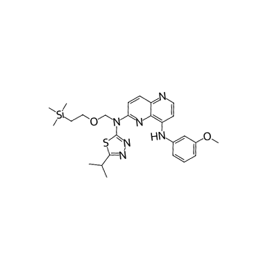 COc1cccc(Nc2ccnc3ccc(N(COCC[Si](C)(C)C)c4nnc(C(C)C)s4)nc23)c1